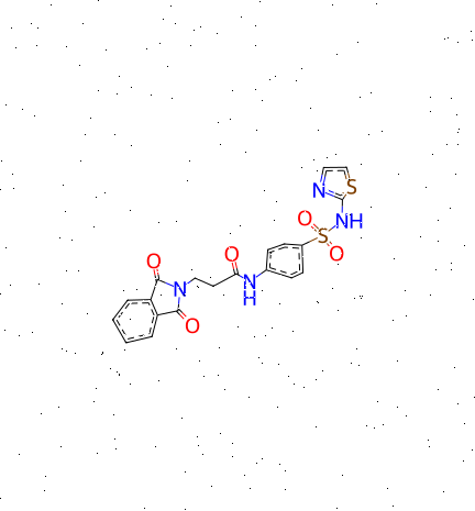 O=C(CCN1C(=O)c2ccccc2C1=O)Nc1ccc(S(=O)(=O)Nc2nccs2)cc1